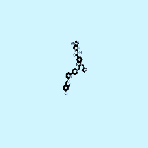 O=C(Nc1ncc2[nH]cnc2n1)c1ccc2c(c1)nc(CN1CCC(c3cccc(OCc4ccc(Cl)cc4F)n3)CC1)n2C[C@@H]1CCO1